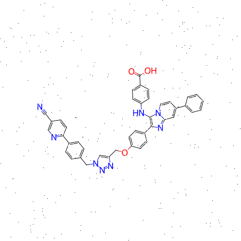 N#Cc1ccc(-c2ccc(Cn3cc(COc4ccc(-c5nc6cc(-c7ccccc7)ccn6c5Nc5ccc(C(=O)O)cc5)cc4)nn3)cc2)nc1